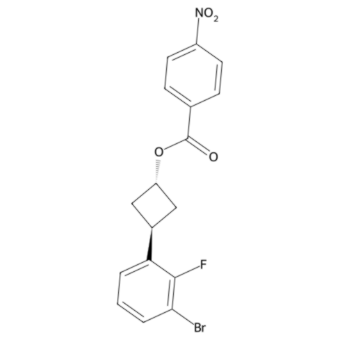 O=C(O[C@H]1C[C@H](c2cccc(Br)c2F)C1)c1ccc([N+](=O)[O-])cc1